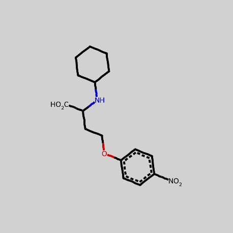 O=C(O)C(CCOc1ccc([N+](=O)[O-])cc1)NC1CCCCC1